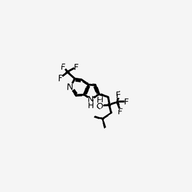 CC(C)CC(O)(Cc1cc2cc(C(F)(F)F)ncc2[nH]1)C(F)(F)F